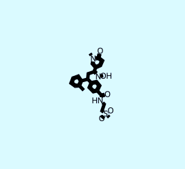 Cc1ccccc1C(CC(=NO)c1ccc(=O)n(C)c1)c1ccc(C(=O)NCCS(C)(=O)=O)cc1